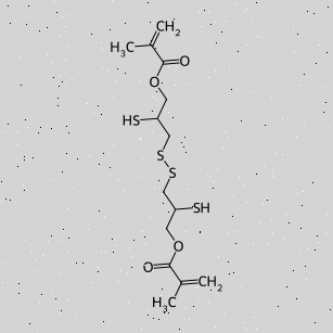 C=C(C)C(=O)OCC(S)CSSCC(S)COC(=O)C(=C)C